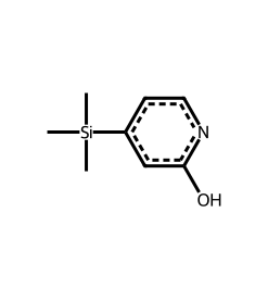 C[Si](C)(C)c1ccnc(O)c1